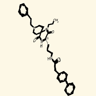 CCCN1C(=O)[C@H](CCCNC(=O)Cc2ccc(-c3ccccc3)cc2)NC(=O)C12CCN(CCc1ccccc1)CC2